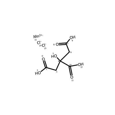 O=C(O)CC(O)(CC(=O)O)C(=O)O.[Cl-].[Cl-].[Mn+2]